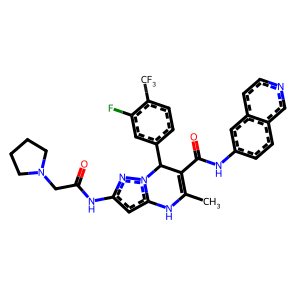 CC1=C(C(=O)Nc2ccc3cnccc3c2)C(c2ccc(C(F)(F)F)c(F)c2)n2nc(NC(=O)CN3CCCC3)cc2N1